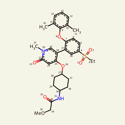 CCS(=O)(=O)c1ccc(Oc2c(C)cccc2C)c(-c2cn(C)c(=O)cc2OC2CCC(NC(=O)COC)CC2)c1